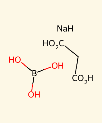 O=C(O)CC(=O)O.OB(O)O.[NaH]